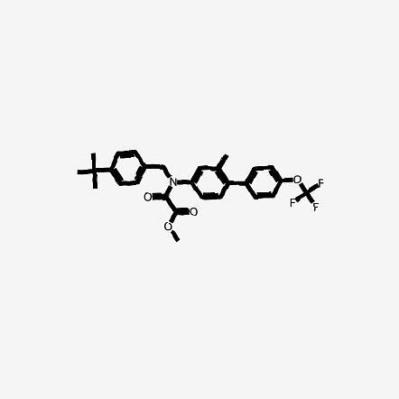 COC(=O)C(=O)N(Cc1ccc(C(C)(C)C)cc1)c1ccc(-c2ccc(OC(F)(F)F)cc2)c(C)c1